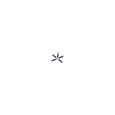 [I][Co]([I])([I])([I])[I]